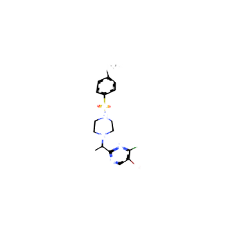 COc1ccc(S(=O)(=O)N2CCN(C(C)c3ncc(Br)c(Cl)n3)CC2)cc1